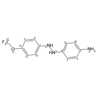 Nc1ccc(NNc2ccc(OC(F)(F)F)cc2)cc1